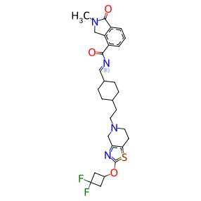 CN1Cc2c(C(=O)/N=C/C3CCC(CCN4CCc5sc(OC6CC(F)(F)C6)nc5C4)CC3)cccc2C1=O